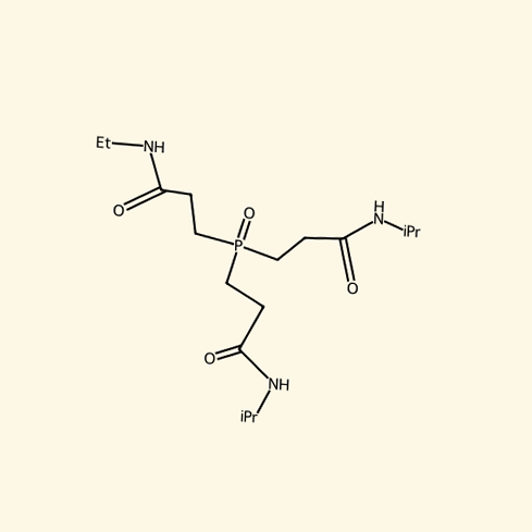 CCNC(=O)CCP(=O)(CCC(=O)NC(C)C)CCC(=O)NC(C)C